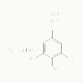 O=C(O)c1cc(O)c(O)c(O)c1.[LiH].[LiH].[LiH].[LiH].[LiH]